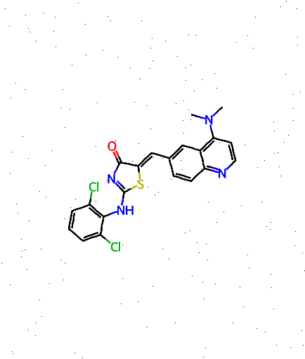 CN(C)c1ccnc2ccc(/C=C3\SC(Nc4c(Cl)cccc4Cl)=NC3=O)cc12